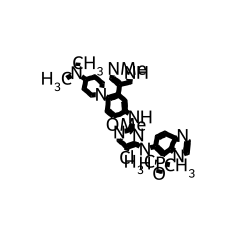 CN/C=C(\C=N)c1cc(Nc2ncc(Cl)c(Nc3ccc4nccnc4c3P(C)(C)=O)n2)c(OC)cc1N1CCC(N(C)C)CC1